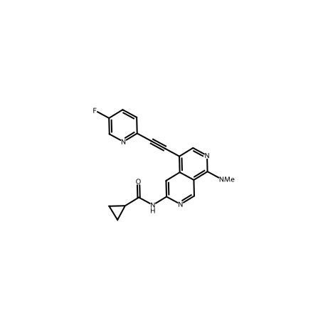 CNc1ncc(C#Cc2ccc(F)cn2)c2cc(NC(=O)C3CC3)ncc12